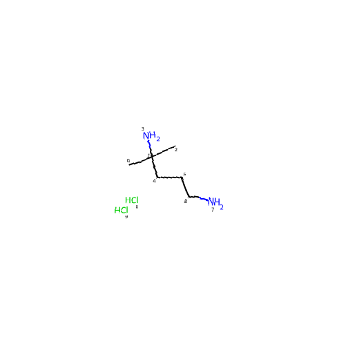 CC(C)(N)CCCN.Cl.Cl